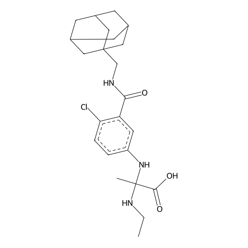 CCNC(C)(Nc1ccc(Cl)c(C(=O)NCC23CC4CC(CC(C4)C2)C3)c1)C(=O)O